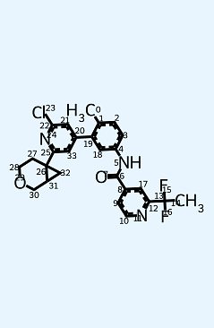 Cc1ccc(NC(=O)c2ccnc(C(C)(F)F)c2)cc1-c1cc(Cl)nc(C23CCOCC2C3)c1